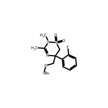 CCCCOCC1(c2ccccc2F)CS(=O)(=O)N(C)C(C)=N1